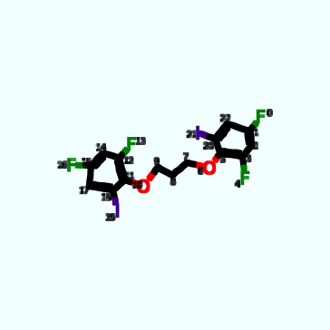 Fc1cc(F)c(OCCCOc2c(F)cc(F)cc2I)c(I)c1